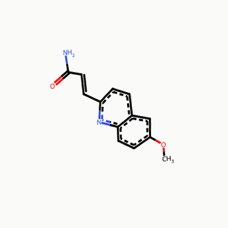 COc1ccc2nc(C=CC(N)=O)ccc2c1